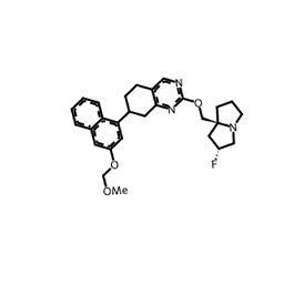 COCOc1cc(C2CCc3cnc(OC[C@@]45CCCN4C[C@H](F)C5)nc3C2)c2ccccc2c1